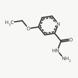 CCOc1ccnc(C(=O)NN)c1